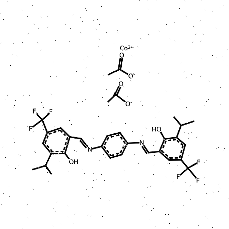 CC(=O)[O-].CC(=O)[O-].CC(C)c1cc(C(F)(F)F)cc(C=Nc2ccc(N=Cc3cc(C(F)(F)F)cc(C(C)C)c3O)cc2)c1O.[Co+2]